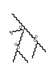 CCCCCCCCCCC(CCCCC=CC(=O)OCC(CCCCCC)CCCCCCCC)N(CCCCCCCC(=O)OCC(CCCCCC)CCCCCCCC)C(=O)CCCCN(C)C